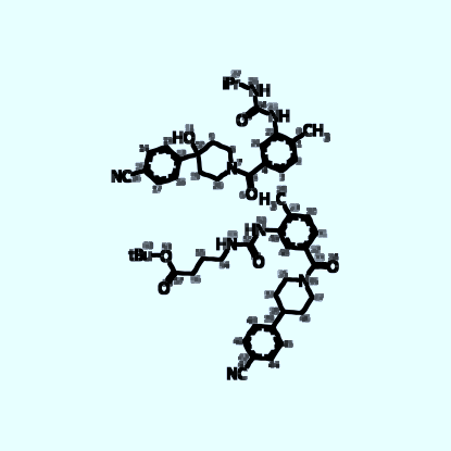 Cc1ccc(C(=O)N2CCC(O)(c3ccc(C#N)cc3)CC2)cc1NC(=O)NC(C)C.Cc1ccc(C(=O)N2CCC(c3ccc(C#N)cc3)CC2)cc1NC(=O)NCCCC(=O)OC(C)(C)C